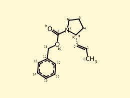 CC=C[C@H]1CCCN1C(=O)OCc1ccccc1